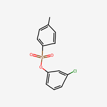 Cc1ccc(S(=O)(=O)Oc2cccc(Cl)c2)cc1